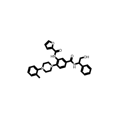 Cc1ccccc1N1CCN(c2ccc(C(=O)NC(CO)c3ccccc3)cc2NC(=O)c2ccco2)CC1